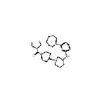 CCC(CC)C(=O)N1CCC(N2CCCC(Nc3nccc(N4CCCCCC4)n3)C2)CC1